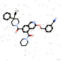 C#CC1(c2ccccc2)CCN(C(=O)c2cc(C(=O)N3CCCCC3)c3cc(OCc4cccc(C#N)c4)ncc3c2)CC1